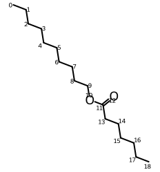 CCCCCCCCCCOC(=O)CCCCCC